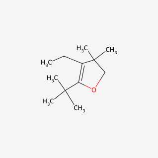 CCC1=C(C(C)(C)C)OCC1(C)C